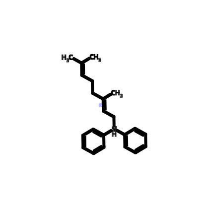 CC(C)=CCC/C(C)=C/C[SiH](c1ccccc1)c1ccccc1